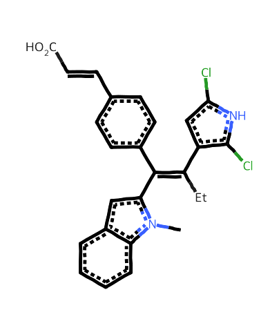 CC/C(=C(/c1ccc(/C=C/C(=O)O)cc1)c1cc2ccccc2n1C)c1cc(Cl)[nH]c1Cl